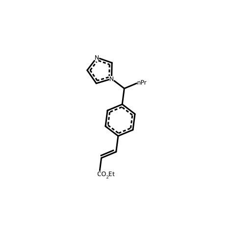 CCCC(c1ccc(C=CC(=O)OCC)cc1)n1ccnc1